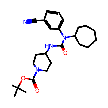 CC(C)(C)OC(=O)N1CCC(NC(=O)N(c2cccc(C#N)c2)C2CCCCCC2)CC1